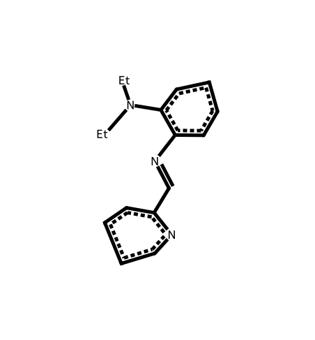 CCN(CC)c1ccccc1/N=C/c1ccccn1